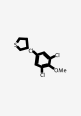 C1CCSC1.COc1c(Cl)cc(Cl)cc1Cl